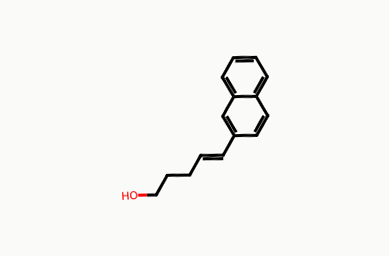 OCCCC=Cc1ccc2ccccc2c1